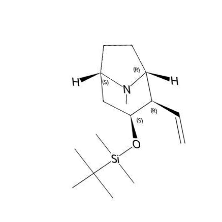 C=C[C@H]1[C@@H](O[Si](C)(C)C(C)(C)C)C[C@@H]2CC[C@H]1N2C